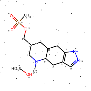 CCN1CC(COS(C)(=O)=O)CC2Cc3[nH]ncc3CC21.O=S(=O)(O)O